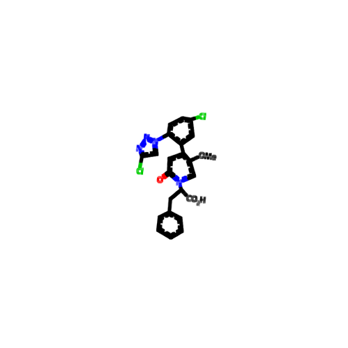 COc1cn(C(Cc2ccccc2)C(=O)O)c(=O)cc1-c1cc(Cl)ccc1-n1cc(Cl)nn1